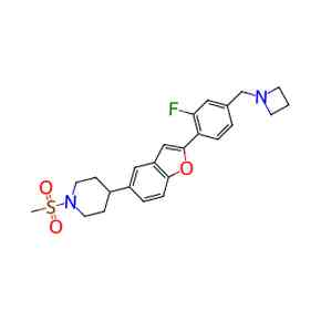 CS(=O)(=O)N1CCC(c2ccc3oc(-c4ccc(CN5CCC5)cc4F)cc3c2)CC1